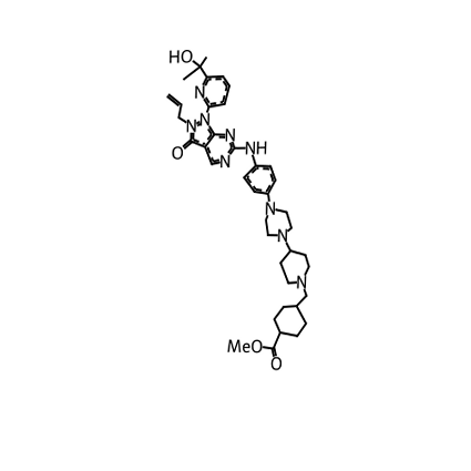 C=CCn1c(=O)c2cnc(Nc3ccc(N4CCN(C5CCN(CC6CCC(C(=O)OC)CC6)CC5)CC4)cc3)nc2n1-c1cccc(C(C)(C)O)n1